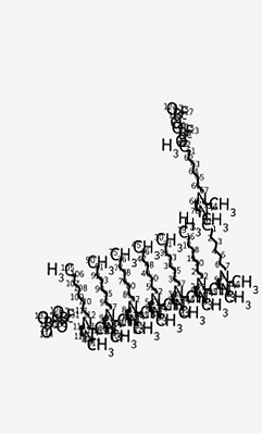 CCCCCCCCn1cc[n+](C)c1C.CCCCCCCCn1cc[n+](C)c1C.CCCCCCCCn1cc[n+](C)c1C.CCCCCCCCn1cc[n+](C)c1C.CCCCCCCCn1cc[n+](C)c1C.CCCCCCCCn1cc[n+](C)c1C.CCCCCCCCn1cc[n+](C)c1C.CCCCCCCCn1cc[n+](C)c1C.[O-]B([O-])F.[O-]B([O-])F.[O-]B([O-])F.[O-]B([O-])F